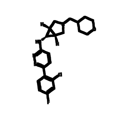 Fc1ccc(-c2ccc(N[C@@H]3[C@@H]4CN(CC5CCOCC5)C[C@@H]43)nn2)c(Cl)c1